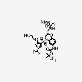 CNS(=O)(=O)NC[C@H]1CN(S(=O)(=O)c2cn(C(F)F)nc2OCCO)c2cc(NC(=O)OC(C)(C)C(F)(F)F)ccc2O1